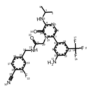 CC(C)Nc1ncc(-c2cc(N)cc(C(F)(F)F)c2)n(CC(=O)NCc2ccc(C#N)c(F)c2)c1=O